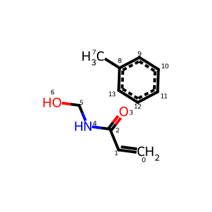 C=CC(=O)NCO.Cc1ccccc1